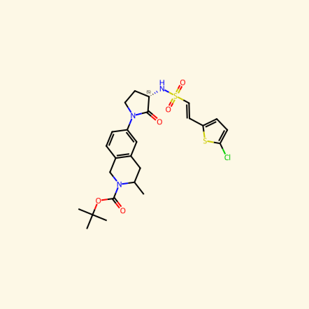 CC1Cc2cc(N3CC[C@H](NS(=O)(=O)C=Cc4ccc(Cl)s4)C3=O)ccc2CN1C(=O)OC(C)(C)C